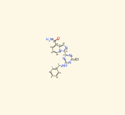 CCc1nc(NCc2ccccc2)nc(-c2ncc3c(C(N)=O)cccn23)n1